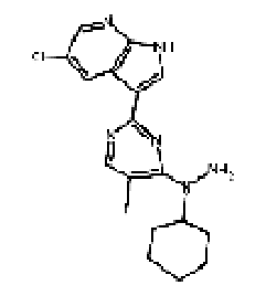 NN(c1nc(-c2c[nH]c3ncc(Cl)cc23)ncc1F)C1CCCCC1